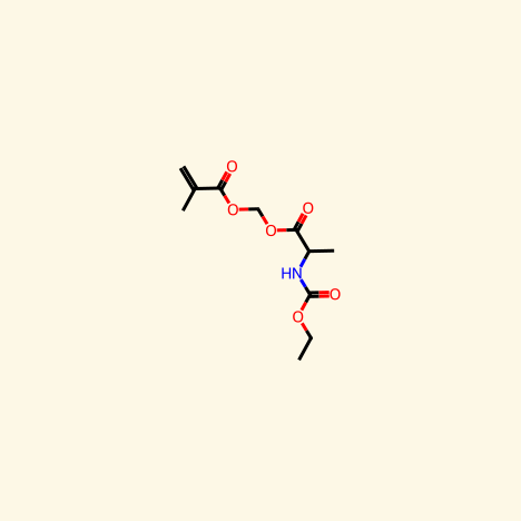 C=C(C)C(=O)OCOC(=O)C(C)NC(=O)OCC